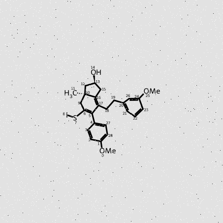 COc1ccc(C2=C(SI)C[C@@]3(C)C[C@@H](O)CC3=C2CCc2cccc(OC)c2)cc1